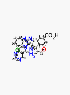 NC1c2cc(C(=O)O)cc3c2C(CCO3)[C@@]1(N)c1cc2cccc(Cl)c2n1Cc1cncnc1